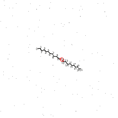 CCCCCCCCCC[CH]OCCCCCCCCCC